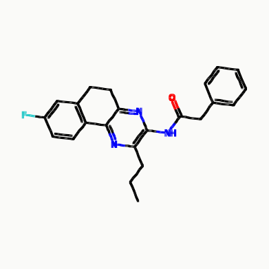 CCCc1nc2c(nc1NC(=O)Cc1ccccc1)CCc1cc(F)ccc1-2